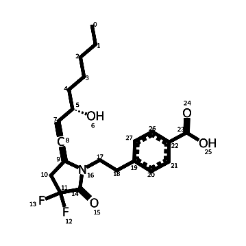 CCCCC[C@H](O)C=C=C1CC(F)(F)C(=O)N1CCc1ccc(C(=O)O)cc1